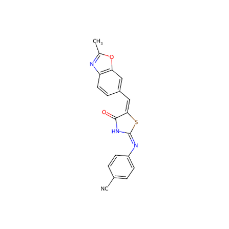 Cc1nc2ccc(C=C3SC(=Nc4ccc(C#N)cc4)NC3=O)cc2o1